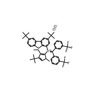 CCC1=[C]([Zr+2](=[C](c2cccc(C(F)(F)F)c2)c2cccc(C(F)(F)F)c2)[c]2cc(C(C)(C)C)cc3c2Cc2ccc(C(C)(C)C)cc2-3)C(C)C=C1C(C)(C)C.[Cl-].[Cl-]